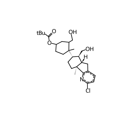 CC(C)(C)C(=O)OC1CCC(C)([C@H]2CC[C@]3(C)c4nc(Cl)ccc4C[C@H]3[C@@H]2CO)C(CO)C1